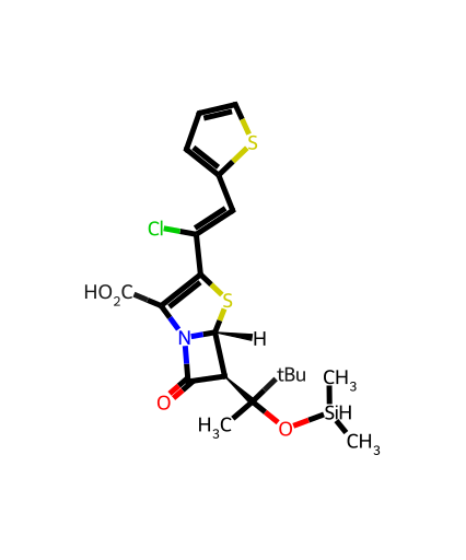 C[SiH](C)OC(C)([C@H]1C(=O)N2C(C(=O)O)=C(/C(Cl)=C/c3cccs3)S[C@H]12)C(C)(C)C